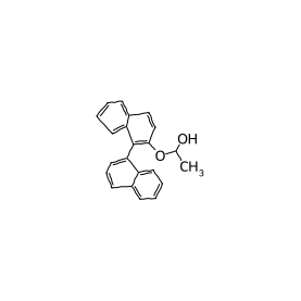 CC(O)Oc1ccc2ccccc2c1-c1cccc2ccccc12